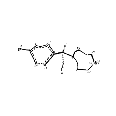 CC(C)c1cnc(C(F)(F)C2CCNCC2)nc1